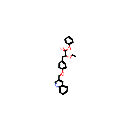 CCOC(Cc1ccc(OCc2cnc3ccccc3c2)cc1)C(=O)Oc1ccccc1